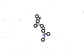 CC1(C)c2ccccc2-c2cc3c4ccccc4n(-c4ccc5c(c4)-c4ccc(/C(=N/Cc6ccccc6)c6ccccc6)cc4C5)c3cc21